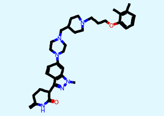 C=C1CCC(c2nn(C)c3cc(N4CCN(CC5CCN(CCCOc6cccc(C)c6C)CC5)CC4)ccc23)C(=O)N1